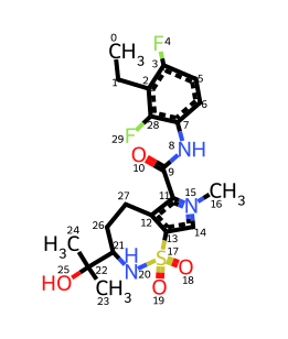 CCc1c(F)ccc(NC(=O)c2c3c(cn2C)S(=O)(=O)NC(C(C)(C)O)CC3)c1F